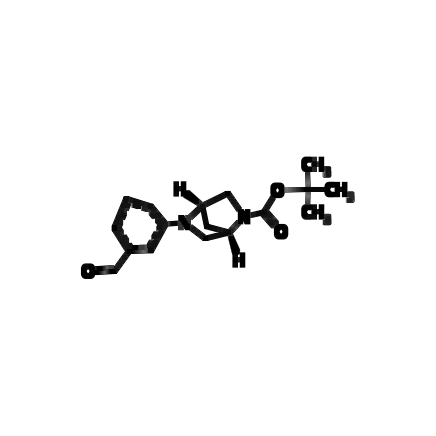 CC(C)(C)OC(=O)N1C[C@@H]2C[C@H]1CN2c1cccc(C=O)c1